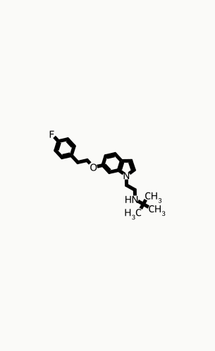 CC(C)(C)NCCn1ccc2ccc(OCCc3ccc(F)cc3)cc21